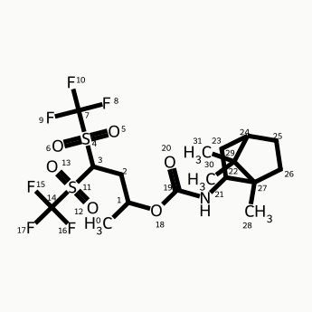 CC(CC(S(=O)(=O)C(F)(F)F)S(=O)(=O)C(F)(F)F)OC(=O)NC1CC2CCC1(C)C2(C)C